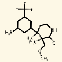 BC1CC(C(F)(F)F)CC(C2(C)CCNC(Cl)C2(C)COC)C1